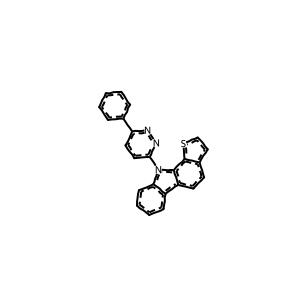 c1ccc(-c2ccc(-n3c4ccccc4c4ccc5ccsc5c43)nn2)cc1